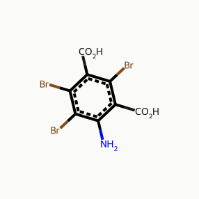 Nc1c(Br)c(Br)c(C(=O)O)c(Br)c1C(=O)O